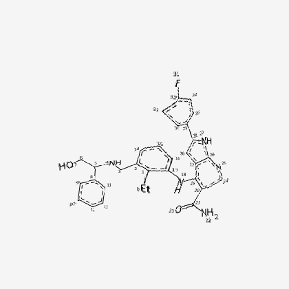 CCc1c(CNC(CO)c2ccccc2)cccc1Nc1c(C(N)=O)cnc2[nH]c(-c3ccc(F)cc3)cc12